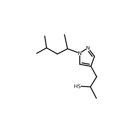 CC(C)CC(C)n1cc(CC(C)S)cn1